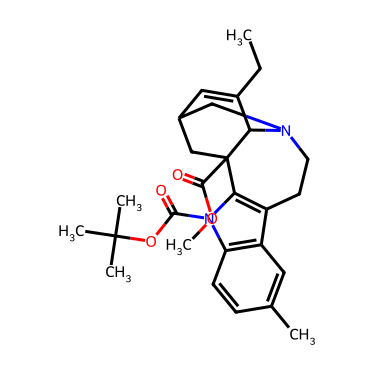 CCC1=CC2CN3CCc4c(n(C(=O)OC(C)(C)C)c5ccc(C)cc45)C(C(=O)OC)(C2)C13